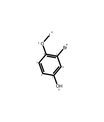 Oc1ccc(OI)c(Br)c1